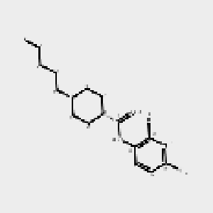 CCCCC[C@H]1CC[C@H](C(=O)Oc2ccc(F)nc2F)CC1